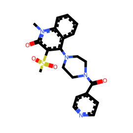 Cn1c(=O)c(S(C)(=O)=O)c(N2CCN(C(=O)c3ccncc3)CC2)c2ccccc21